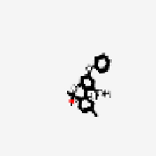 CC1=CC[C@@H]2[C@@H](C1)c1c(O)cc(Oc3ccccc3)cc1OC2(C)C